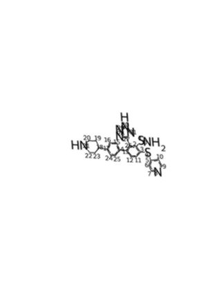 NSc1c(Sc2ccncc2)ccc(-c2ccc(C3CCNCC3)cc2)c1-c1nn[nH]n1